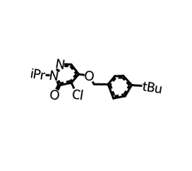 CC(C)n1ncc(OCc2ccc(C(C)(C)C)cc2)c(Cl)c1=O